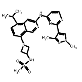 Cc1nn(C)cc1-c1nccc(Nc2cc3c(C(C)C)ccc(N4CC(NS(C)(=O)=O)C4)c3cn2)n1